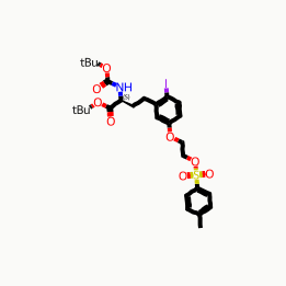 Cc1ccc(S(=O)(=O)OCCOc2ccc(I)c(CC[C@H](NC(=O)OC(C)(C)C)C(=O)OC(C)(C)C)c2)cc1